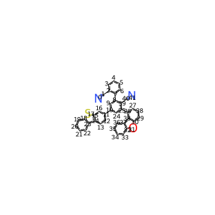 N#Cc1ccccc1-c1cc(-c2ccc3c(c2)sc2ccccc23)cc(-c2cccc3oc4ccccc4c23)c1C#N